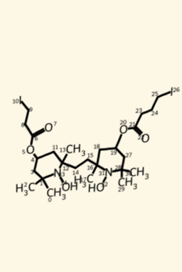 CC1(C)CC(OC(=O)CCI)CC(C)(CCC2(C)CC(OC(=O)CCCI)CC(C)(C)N2O)N1O